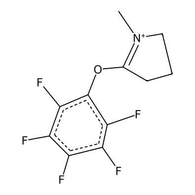 C[N+]1=C(Oc2c(F)c(F)c(F)c(F)c2F)CCC1